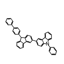 c1ccc(-c2ccc(C3c4ccccc4-c4cc(-c5ccc6c(c5)c5ccccc5n6-c5ccccc5)ccc43)cc2)cc1